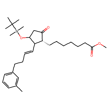 COC(=O)CCCCCC[C@H]1C(=O)CC(O[Si](C)(C)C(C)(C)C)C1/C=C/CCc1cccc(C)c1